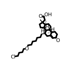 C[C@]1(CC(=O)O)CC[C@H]2[C@@H]3[C@H](CCCCCCCOCCCCCl)CC4=CC(=O)CC[C@]4(C)[C@H]3CC[C@@]21C